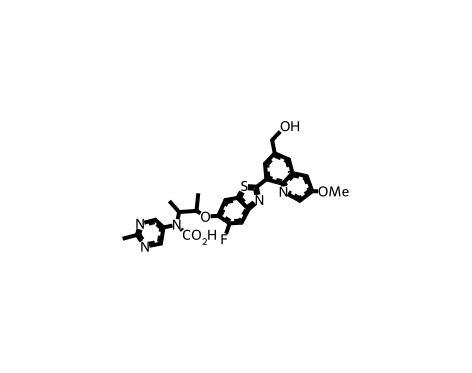 COc1cnc2c(-c3nc4cc(F)c(OC(C)C(C)N(C(=O)O)c5cnc(C)nc5)cc4s3)cc(CO)cc2c1